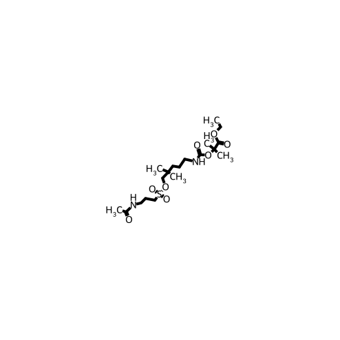 CCOC(=O)C(C)(C)OC(=O)NCCCC(C)(C)COS(=O)(=O)CCCNC(C)=O